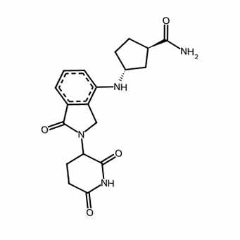 NC(=O)[C@@H]1CC[C@@H](Nc2cccc3c2CN(C2CCC(=O)NC2=O)C3=O)C1